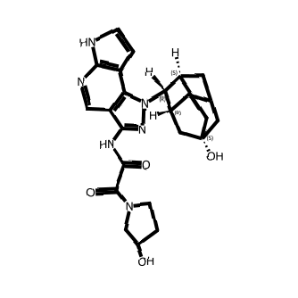 O=C(Nc1nn([C@H]2[C@@H]3CC4C[C@H]2C[C@@](O)(C4)C3)c2c1cnc1[nH]ccc12)C(=O)N1CCC(O)C1